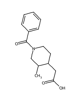 CC1CN(C(=O)c2ccccc2)CCC1CC(=O)O